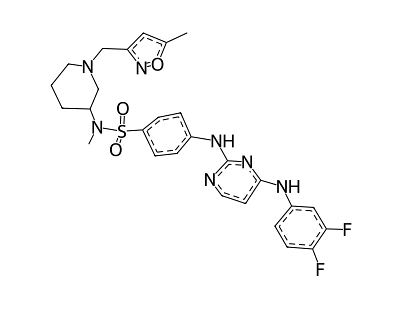 Cc1cc(CN2CCCC(N(C)S(=O)(=O)c3ccc(Nc4nccc(Nc5ccc(F)c(F)c5)n4)cc3)C2)no1